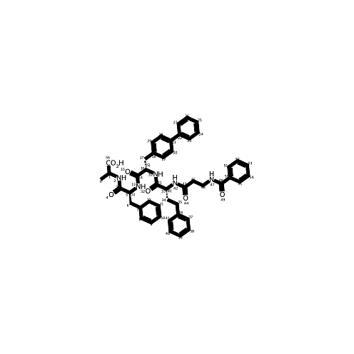 CC(NC(=O)[C@H](CC1C=CC=CC1)NC(=O)[C@H](Cc1ccc(-c2ccccc2)cc1)NC(=O)[C@@H](CCc1ccccc1)NC(=O)CCNC(=O)c1ccccc1)C(=O)O